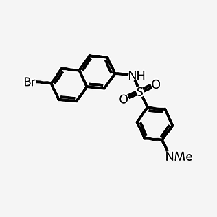 CNc1ccc(S(=O)(=O)Nc2ccc3cc(Br)ccc3c2)cc1